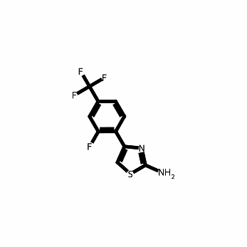 Nc1nc(-c2ccc(C(F)(F)F)cc2F)cs1